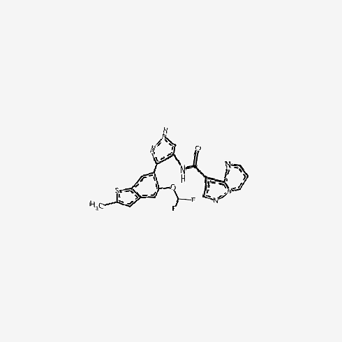 Cc1cc2cc(OC(F)F)c(-c3n[nH]cc3NC(=O)c3cnn4cccnc34)cc2s1